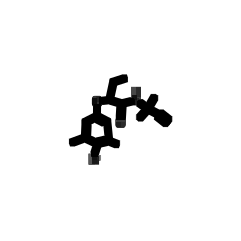 C#CC(C)(C)NC(=O)C(CC)Oc1cc(C)c(Br)c(C)c1